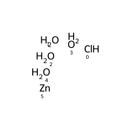 Cl.O.O.O.O.[Zn]